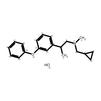 CC(CN(C)CC1CC1)c1cccc(Oc2ccccc2)c1.Cl